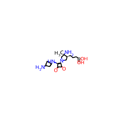 C[C@]1(N)CN(c2c(NC3CC(N)C3)c(=O)c2=O)C[C@@H]1CCCB(O)O